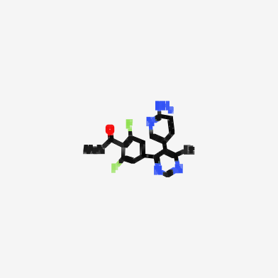 CCc1ncnc(-c2cc(F)c(C(=O)NC)c(F)c2)c1-c1ccc(N)nc1